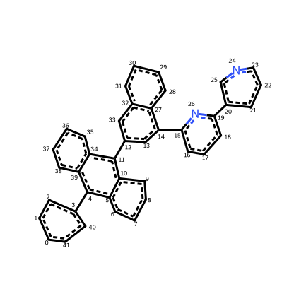 c1ccc(-c2c3ccccc3c(-c3cc(-c4cccc(-c5cccnc5)n4)c4ccccc4c3)c3ccccc23)cc1